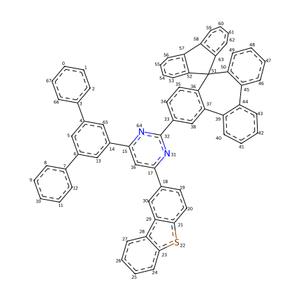 c1ccc(-c2cc(-c3ccccc3)cc(-c3cc(-c4ccc5sc6ccccc6c5c4)nc(-c4ccc5c(c4)-c4ccccc4-c4ccccc4C54c5ccccc5-c5ccccc54)n3)c2)cc1